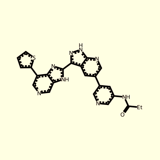 CCC(=O)Nc1cncc(-c2cnc3[nH]nc(-c4nc5c(-c6cccs6)cncc5[nH]4)c3c2)c1